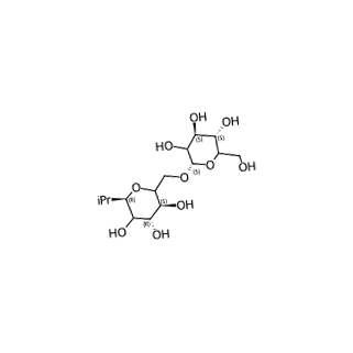 CC(C)[C@H]1OC(CO[C@H]2OC(CO)[C@@H](O)[C@H](O)C2O)[C@@H](O)[C@H](O)C1O